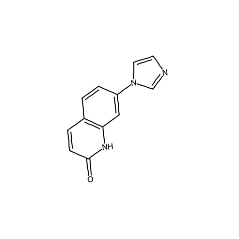 O=c1ccc2ccc(-n3ccnc3)cc2[nH]1